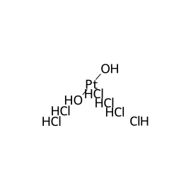 Cl.Cl.Cl.Cl.Cl.Cl.[OH][Pt][OH]